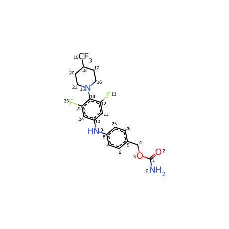 NC(=O)OCc1ccc(Nc2cc(F)c(N3CCC(C(F)(F)F)CC3)c(F)c2)cc1